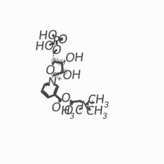 C[N+](C)(C)CC(=O)OC(=O)c1ccc[n+]([C@@H]2O[C@H](COP(=O)(O)O)[C@@H](O)[C@H]2O)c1